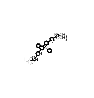 CC1(C)CN=C(c2ccc(-c3ccc4c5c6ccccc6c(-c6ccc(C7=NCC(C)(C)O7)cn6)cc5n(-c5ccccc5)c4c3)nc2)O1